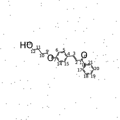 O=C(C=Cc1ccc(OCCCCO)cc1)c1ccccc1